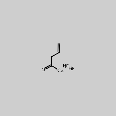 C=CC[C](=O)[Co].F.F